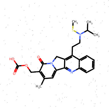 CSN(CCc1c2c(nc3ccccc13)-c1cc(C)c(COC(=O)O)c(=O)n1C2)C(C)C